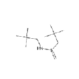 C=S(CC(C)(C)C)NCC(C)(C)C